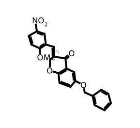 COc1ccc([N+](=O)[O-])cc1/C=C1\COc2ccc(OCc3ccccc3)cc2C1=O